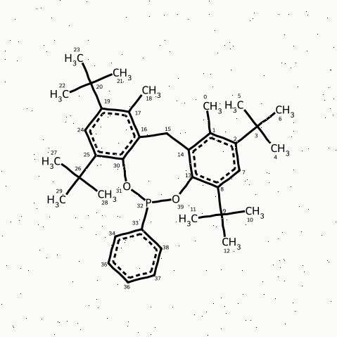 Cc1c(C(C)(C)C)cc(C(C)(C)C)c2c1Cc1c(C)c(C(C)(C)C)cc(C(C)(C)C)c1OP(c1ccccc1)O2